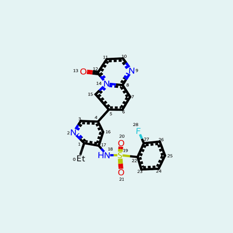 CCc1ncc(-c2ccc3nccc(=O)n3c2)cc1NS(=O)(=O)c1ccccc1F